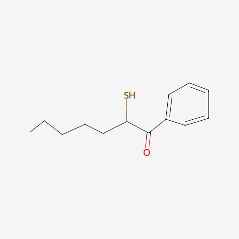 CCCCCC(S)C(=O)c1ccccc1